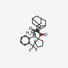 NC(=O)C12CC3CC(C1)C(NC(=O)C1(N(c4ccccc4C(F)(F)F)[SH](=O)=O)CCCC1)C(C3)C2